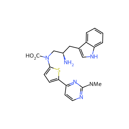 CNc1nccc(-c2ccc(N(C[C@H](N)Cc3c[nH]c4ccccc34)C(=O)O)s2)n1